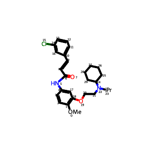 COc1ccc(NC(=O)C=Cc2cccc(Cl)c2)cc1OCCN(C(C)C)C1CCCCC1